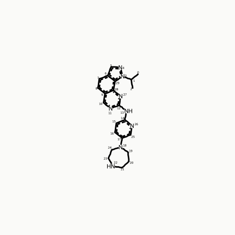 CC(C)n1ncc2ccc3cnc(Nc4ccc(N5CCCNCC5)cn4)nc3c21